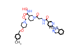 Cc1ccc(COC2CCN(C(=O)[C@H]3CCN(C(=O)CCNC(=O)c4ccc(N/N=C\c5ccccc5S(=O)(=O)O)nc4)CC3C(=O)NO)CC2)cc1